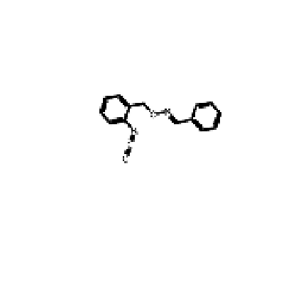 O=C=Nc1ccccc1CON=Cc1ccccc1